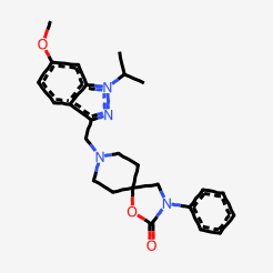 COc1ccc2c(CN3CCC4(CC3)CN(c3ccccc3)C(=O)O4)nn(C(C)C)c2c1